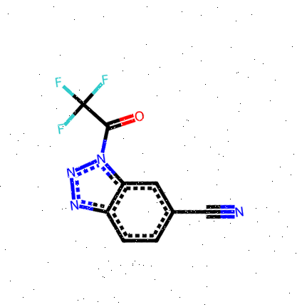 N#Cc1ccc2nnn(C(=O)C(F)(F)F)c2c1